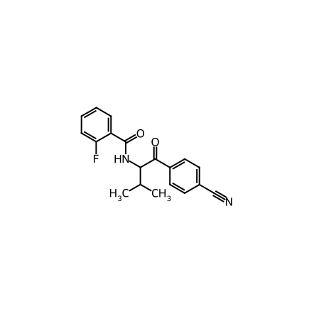 CC(C)C(NC(=O)c1ccccc1F)C(=O)c1ccc(C#N)cc1